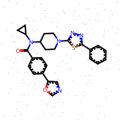 O=C(c1ccc(-c2cnco2)cc1)N(C1CC1)C1CCN(c2nnc(-c3ccccc3)s2)CC1